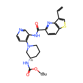 C=Cc1csc2ccc(C(=O)Nc3cnccc3N3CCC[C@H](NC(=O)OC(C)(C)C)C3)nc12